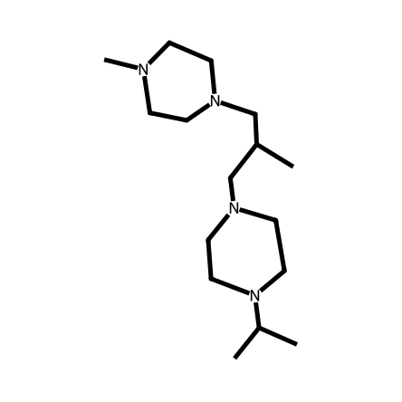 CC(CN1CCN(C)CC1)CN1CCN(C(C)C)CC1